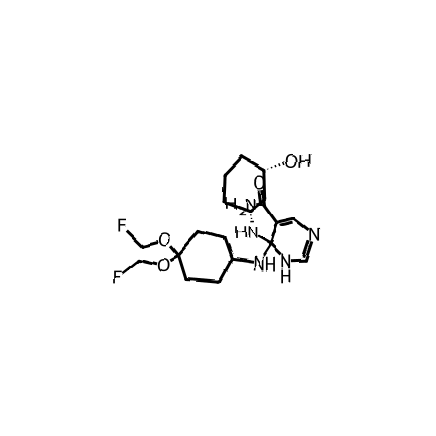 NC(=O)C1=CN=CNC1(NC1CCC(OCF)(OCF)CC1)N[C@@H]1CCC[C@H](O)C1